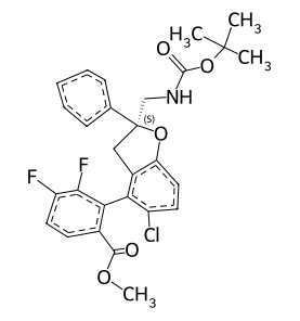 COC(=O)c1ccc(F)c(F)c1-c1c(Cl)ccc2c1C[C@@](CNC(=O)OC(C)(C)C)(c1ccccc1)O2